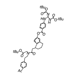 CC(=O)c1ccc(CCN(CC(=O)OC(C)(C)C)C(=O)CC2CCCc3cc(OC(=O)c4ccc(N/C(=N\C(=O)OC(C)(C)C)NC(=O)OC(C)(C)C)cc4)ccc32)cc1